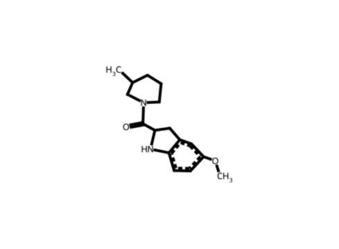 COc1ccc2c(c1)CC(C(=O)N1CCCC(C)C1)N2